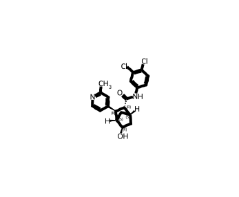 Cc1cc([C@@H]2[C@@H]3C[C@@H](C[C@H]3O)[C@H]2C(=O)Nc2ccc(Cl)c(Cl)c2)ccn1